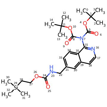 CC(C)(C)OC(=O)N(C(=O)OC(C)(C)C)c1nccc2cc(CNC(=O)OCC[Si](C)(C)C)ccc12